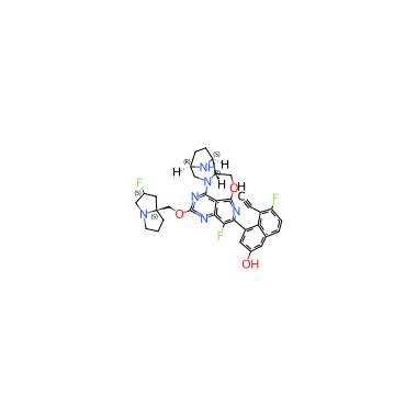 C#Cc1c(F)ccc2cc(O)cc(-c3nc4c5c(nc(OC[C@@]67CCCN6C[C@@H](F)C7)nc5c3F)N3C[C@H]5CC[C@H](N5)[C@@H]3CO4)c12